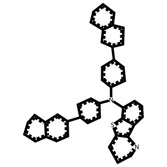 c1ccc2cc(-c3ccc(N(c4ccc(-c5ccc6ccccc6c5)cc4)c4cccc5c4sc4cccnc45)cc3)ccc2c1